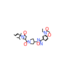 C/C=C/C(C)(C(C)C)N1CC(C(=O)N2CCC(c3nc(-c4ccc5c(c4)N(CC)C(=O)CO5)no3)CC2)CC1=O